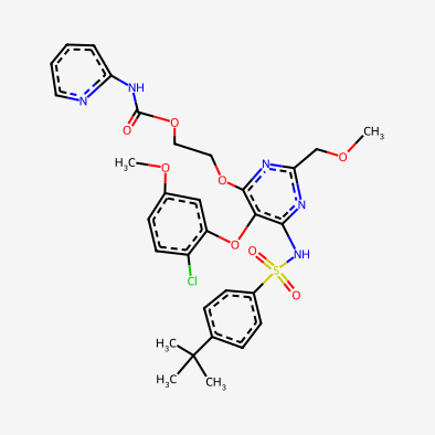 COCc1nc(NS(=O)(=O)c2ccc(C(C)(C)C)cc2)c(Oc2cc(OC)ccc2Cl)c(OCCOC(=O)Nc2ccccn2)n1